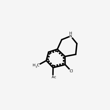 CC(=O)c1c(C)cc2c(c1Cl)CCNC2